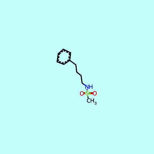 CS(=O)(=O)NCCCCc1ccccc1